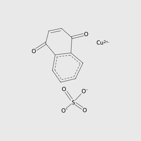 O=C1C=CC(=O)c2ccccc21.O=S(=O)([O-])[O-].[Cu+2]